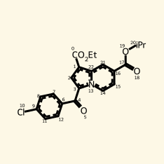 CCOC(=O)c1cc(C(=O)c2ccc(Cl)cc2)n2ccc(C(=O)OC(C)C)cc12